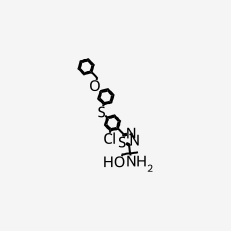 CC(N)(CO)c1nnc(-c2ccc(Sc3cccc(OCc4ccccc4)c3)cc2Cl)s1